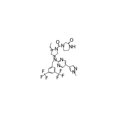 CC[C@@H]1C[C@H](N(Cc2cc(C(F)(F)F)cc(C(F)(F)F)c2)c2ncc(-c3cnn(C)c3)cn2)CN1C(=O)N1CCNC(=O)C1